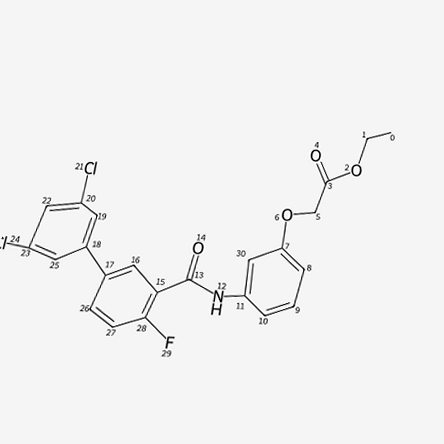 CCOC(=O)COc1cccc(NC(=O)c2cc(-c3cc(Cl)cc(Cl)c3)ccc2F)c1